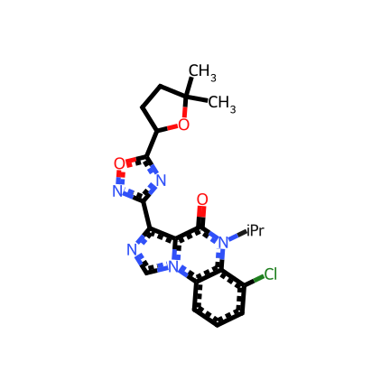 CC(C)n1c(=O)c2c(-c3noc(C4CCC(C)(C)O4)n3)ncn2c2cccc(Cl)c21